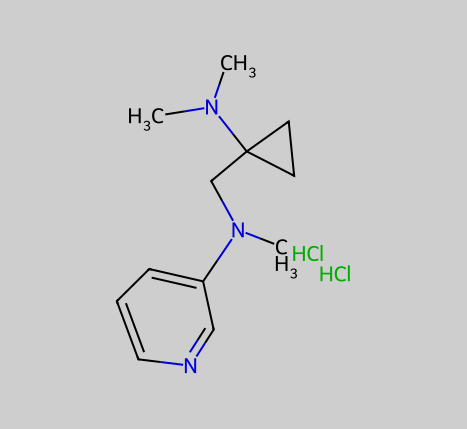 CN(CC1(N(C)C)CC1)c1cccnc1.Cl.Cl